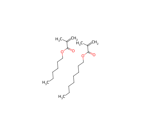 C=C(C)C(=O)OCCCCCC.C=C(C)C(=O)OCCCCCCCC